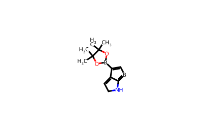 CC1(C)OB(C2=CB=C3NCC=C32)OC1(C)C